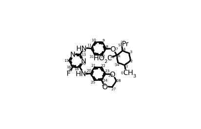 CC1CCC(C(C)C)C(Oc2ccc(Nc3ncc(F)c(Nc4ccc5c(c4)OCCO5)n3)cc2)(C(=O)O)C1